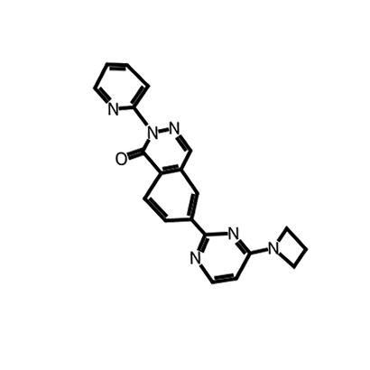 O=c1c2ccc(-c3nccc(N4CCC4)n3)cc2cnn1-c1ccccn1